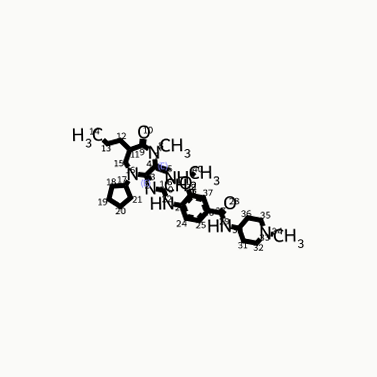 C=C(/N=C1\C(=C/N)N(C)C(=O)C(CCC)CN1C1CCCC1)Nc1ccc(C(=O)NC2CCN(C)CC2)cc1OC